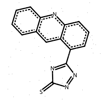 S=C1N=NC(c2cccc3nc4ccccc4cc23)=N1